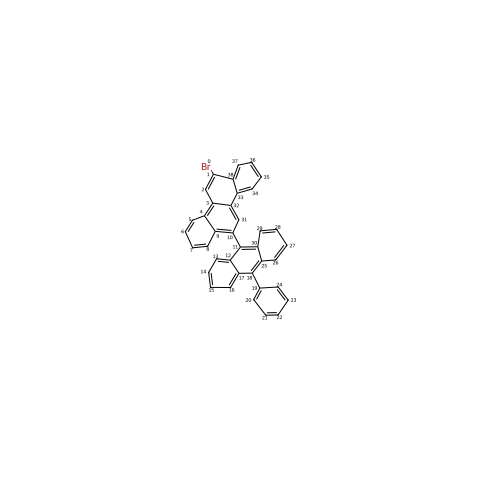 Brc1cc2c3ccccc3c(-c3c4ccccc4c(-c4ccccc4)c4ccccc34)cc2c2ccccc12